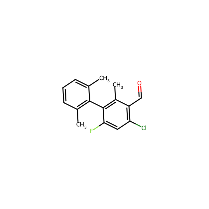 Cc1cccc(C)c1-c1c(F)cc(Cl)c(C=O)c1C